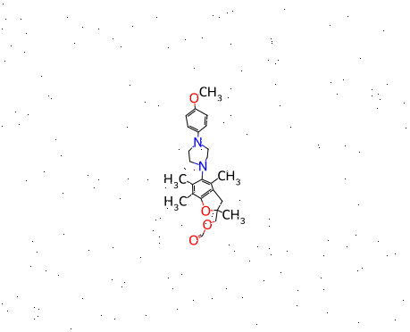 COc1ccc(N2CCN(c3c(C)c(C)c4c(c3C)CC(C)(COC=O)O4)CC2)cc1